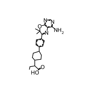 CCC(C(=O)O)C1CCC(c2ccc(C3=Nc4c(N)ncnc4OC3(C)C)cc2)CC1